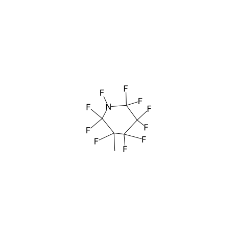 CC1(F)C(F)(F)N(F)C(F)(F)C(F)(F)C1(F)F